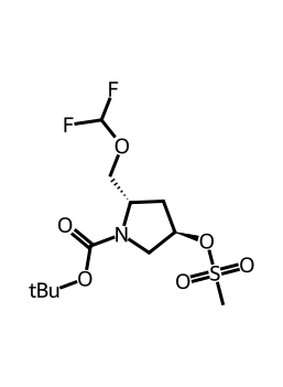 CC(C)(C)OC(=O)N1C[C@H](OS(C)(=O)=O)C[C@H]1COC(F)F